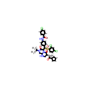 CC(C)N1CC2NCC([AsH]C(=O)C3CCCC3)C(=O)N2C(C(c2ccc(NC(=O)c3ccc(Cl)cc3)cc2)S(=O)(=O)c2ccc(Cl)cc2Cl)C1=O